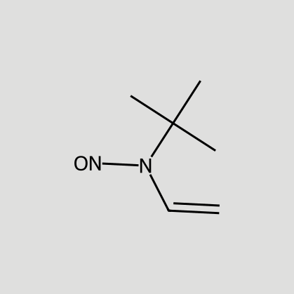 C=CN(N=O)C(C)(C)C